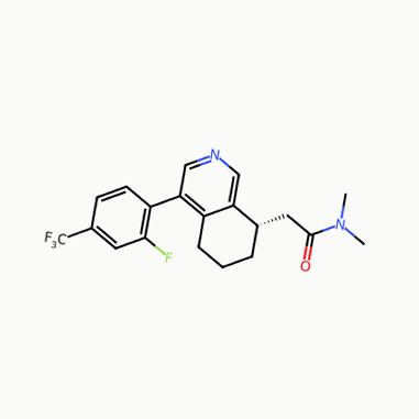 CN(C)C(=O)C[C@@H]1CCCc2c(-c3ccc(C(F)(F)F)cc3F)cncc21